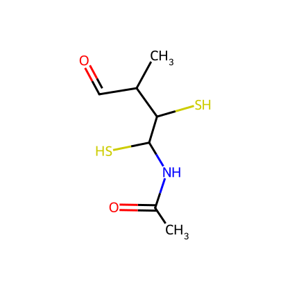 CC(=O)NC(S)C(S)C(C)C=O